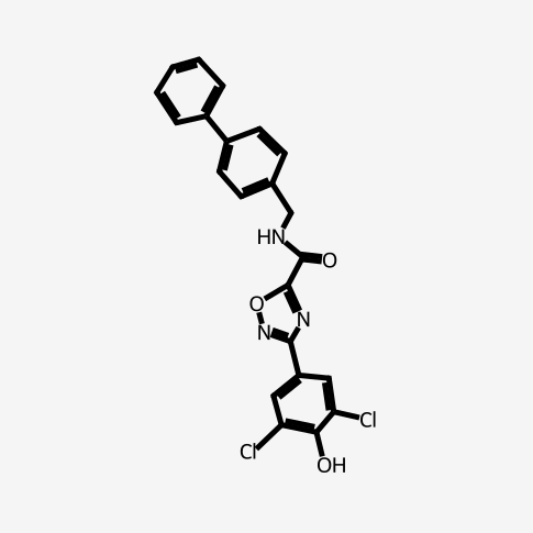 O=C(NCc1ccc(-c2ccccc2)cc1)c1nc(-c2cc(Cl)c(O)c(Cl)c2)no1